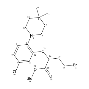 CC1(C)CCN(c2ccc(Cl)cc2OC(CCBr)C(=O)OC(C)(C)C)CC1